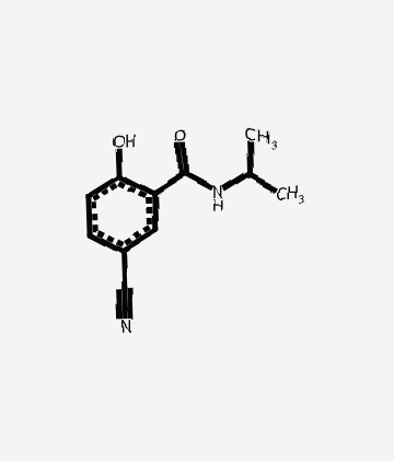 CC(C)NC(=O)c1cc(C#N)ccc1O